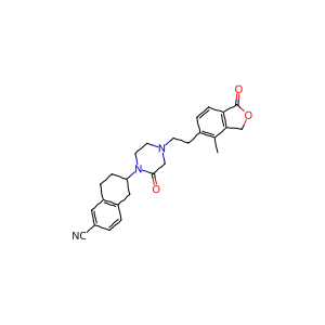 Cc1c(CCN2CCN(C3CCc4cc(C#N)ccc4C3)C(=O)C2)ccc2c1COC2=O